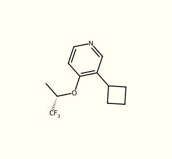 C[C@H](Oc1ccncc1C1CCC1)C(F)(F)F